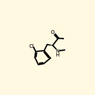 CN[C@@H](Cc1ccccc1Cl)C(C)=O